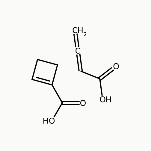 C=C=CC(=O)O.O=C(O)C1=CCC1